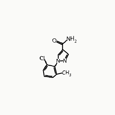 Cc1cccc(Cl)c1-n1cc(C(N)=O)cn1